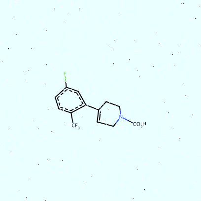 O=C(O)N1CC=C(c2cc(F)ccc2C(F)(F)F)CC1